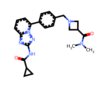 CN(C)C(=O)C1CN(Cc2ccc(-c3cccc4nc(NC(=O)C5CC5)nn34)cc2)C1